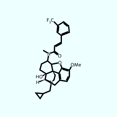 COc1ccc2c3c1OC1C(N(C)C(=O)/C=C/c4cccc(C(F)(F)F)c4)CC[C@@]4(O)[C@@H](C2)N(CC2CC2)CC[C@]314